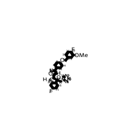 COc1cc(COc2ccc(-c3cc([C@H](C)[C@](O)(Cn4cnnn4)c4ccc(F)cc4F)on3)cc2)ccc1F